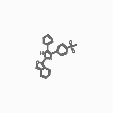 CS(=O)(=O)c1ccc(-c2nc(-c3occ4ccccc34)[nH]c2-c2ccccc2)cc1